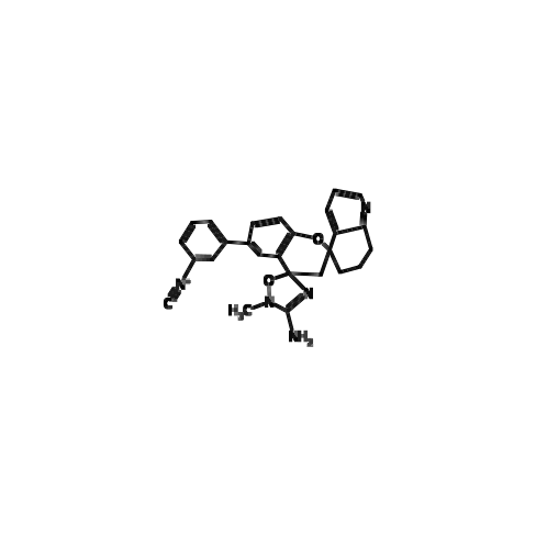 [C-]#[N+]c1cccc(-c2ccc3c(c2)C2(CC4(CCCc5ncccc54)O3)N=C(N)N(C)O2)c1